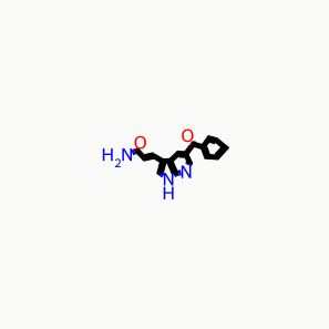 NC(=O)C=Cc1c[nH]c2ncc(C(=O)c3ccccc3)cc12